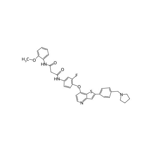 COc1ccccc1NC(=O)CC(=O)Nc1ccc(Oc2ccnc3cc(-c4ccc(CN5CCCC5)cc4)sc23)c(F)c1